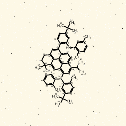 Cc1ccc(C)c(Nc2cc(C(C)(C)C)ccc2-c2cc3c4c(cc5c(N(c6ccccc6C)c6cc(C(C)(C)C)ccc6C)cc(C(C)C)c6ccc2c4c65)C(C)(C)CC3)c1